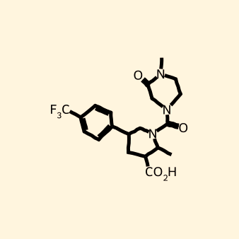 CC1C(C(=O)O)CC(c2ccc(C(F)(F)F)cc2)CN1C(=O)N1CCN(C)C(=O)C1